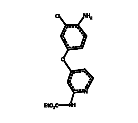 CCOC(=O)Nc1cc(Oc2ccc(N)c(Cl)c2)ccn1